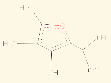 CCCC(CCC)c1oc(C)c(C)c1C